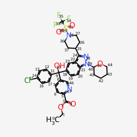 CCOC(=O)c1ccc(C(O)(c2ccc(Cl)cc2)c2ccc3c(c2)c(C2CCN(S(=O)(=O)C(F)(F)F)CC2)nn3C2CCCCO2)cn1